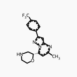 Cc1cc([C@H]2CNCCO2)n2nc(-c3ccc(C(F)(F)F)cc3)cc2n1